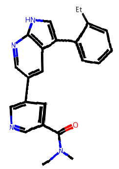 CCc1ccccc1-c1c[nH]c2ncc(-c3cncc(C(=O)N(C)C)c3)cc12